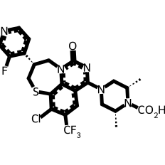 C[C@@H]1CN(c2nc(=O)n3c4c(c(Cl)c(C(F)(F)F)cc24)SC[C@H](c2ccncc2F)C3)C[C@H](C)N1C(=O)O